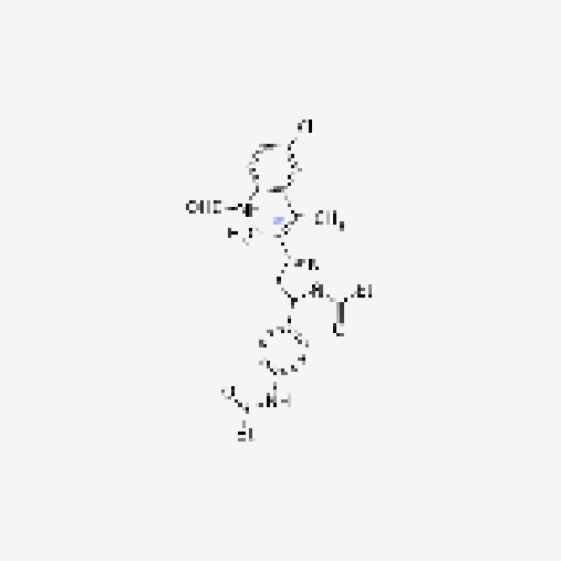 CCC(=O)Nc1ccc(C2CC(/C(C)=C(\C)c3cc(Cl)ccc3NC=O)=NN2C(=O)CC)cc1